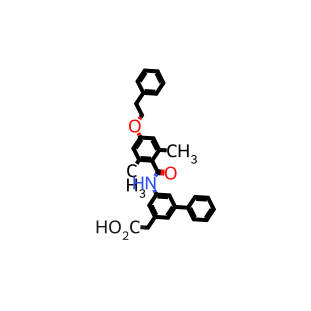 Cc1cc(OCCc2ccccc2)cc(C)c1C(=O)Nc1cc(CC(=O)O)cc(-c2ccccc2)c1